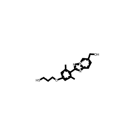 Cc1cc(OCCCS)cc(C)c1-c1nc2ccc(CO)cn2n1